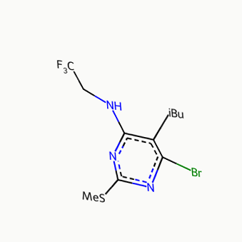 CCC(C)c1c(Br)nc(SC)nc1NCC(F)(F)F